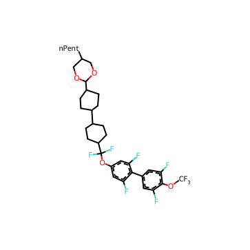 CCCCCC1COC(C2CCC(C3CCC(C(F)(F)Oc4cc(F)c(-c5cc(F)c(OC(F)(F)F)c(F)c5)c(F)c4)CC3)CC2)OC1